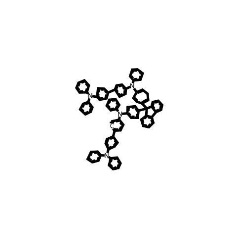 C1=CC(C2(c3ccc(N(c4ccccc4)c4ccc(-c5ccc(N(c6ccccc6)c6ccccc6)cc5)cc4)cc3)c3ccccc3-c3ccccc32)=CCC=C1N(c1ccccc1)c1ccc(-c2ccc(N(c3ccccc3)c3ccccc3)cc2)cc1